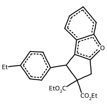 CCOC(=O)C1(C(=O)OCC)Cc2oc3ccccc3c2C1c1ccc(CC)cc1